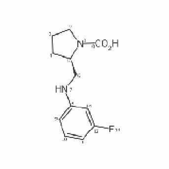 O=C(O)N1CCC[C@@H]1CNc1cccc(F)c1